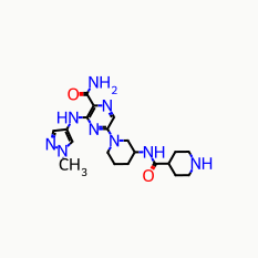 Cn1cc(Nc2nc(N3CCCC(NC(=O)C4CCNCC4)C3)cnc2C(N)=O)cn1